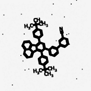 CC(C)(C)c1ccc(-c2cc(-c3cccc(-c4cccc(C#N)c4)c3)c(-c3ccc(C(C)(C)C)cc3)c3c2-c2cccc4cccc-3c24)cc1